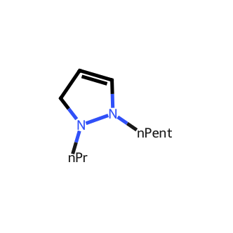 [CH2]CCCCN1C=CCN1CCC